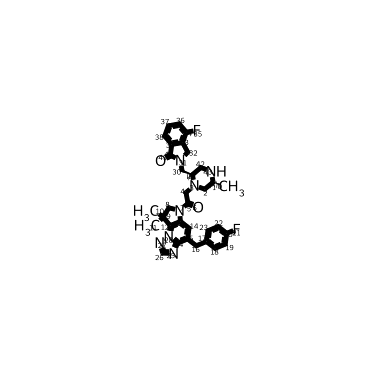 C[C@@H]1CN(CC(=O)N2CC(C)(C)c3c2cc(Cc2ccc(F)cc2)c2ncnn32)[C@@H](CN2Cc3c(F)cccc3C2=O)CN1